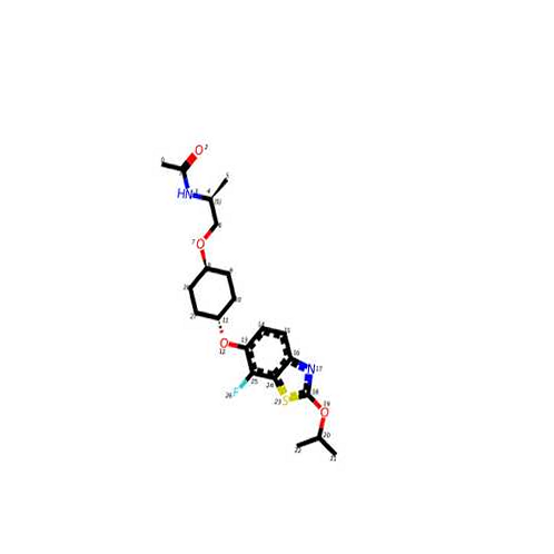 CC(=O)N[C@@H](C)CO[C@H]1CC[C@H](Oc2ccc3nc(OC(C)C)sc3c2F)CC1